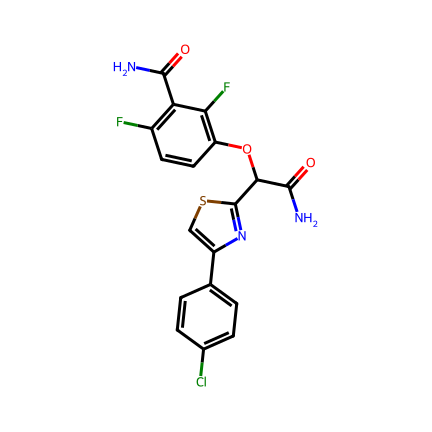 NC(=O)c1c(F)ccc(OC(C(N)=O)c2nc(-c3ccc(Cl)cc3)cs2)c1F